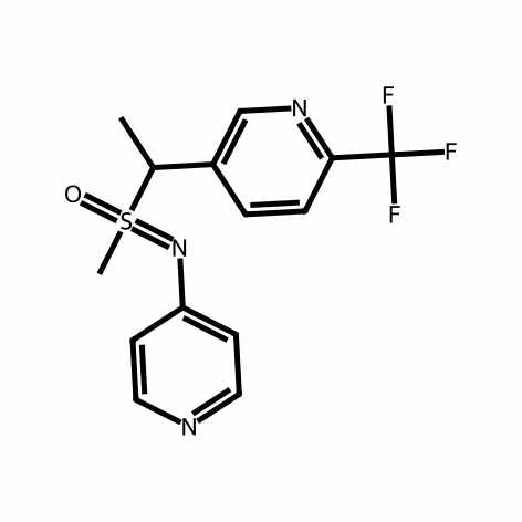 CC(c1ccc(C(F)(F)F)nc1)S(C)(=O)=Nc1ccncc1